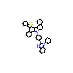 c1ccc(-n2c(-c3ccc(-n4c5ccc6ccccc6c5c5c6sc7ccccc7c6c6ccccc6c54)cc3)nc3ccccc32)cc1